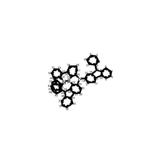 c1ccc(C2c3ccccc3-c3ccc(N4c5cccc6c5B(c5c4ccc4c5C(c5ccccc5)c5ccccc5-4)n4c5ccccc5c5cccc-6c54)cc32)cc1